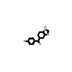 O=C(c1ccc(F)cc1)C1CCc2[nH]cnc2C1